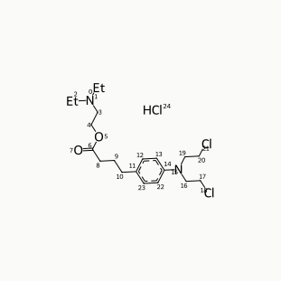 CCN(CC)CCOC(=O)CCCc1ccc(N(CCCl)CCCl)cc1.Cl